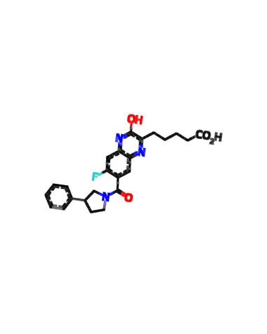 O=C(O)CCCCc1nc2cc(C(=O)N3CCC(c4ccccc4)C3)c(F)cc2nc1O